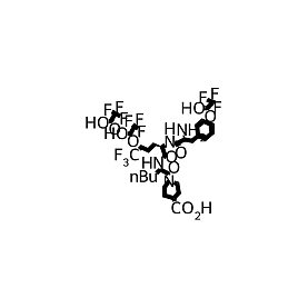 CCCCC(NC(=O)[C@@H](CCCC(F)(F)F)NC(=O)[C@H](N)Cc1ccccc1)C(=O)N1CCC(C(=O)O)CC1.O=C(O)C(F)(F)F.O=C(O)C(F)(F)F.O=C(O)C(F)(F)F